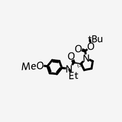 CCN(C(=O)[C@@H]1CCCN1C(=O)OC(C)(C)C)c1ccc(OC)cc1